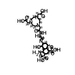 Nc1c(S(=O)(=O)O)cc(S(=O)(=O)O)c2ccc(N=NBNC(=O)CN3CCN(CC(=O)O)CCN(CC(=O)O)CC3)c(O)c12